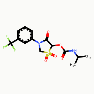 CC(C)NC(=O)OC1C(=O)N(c2cccc(C(F)(F)F)c2)CS1(=O)=O